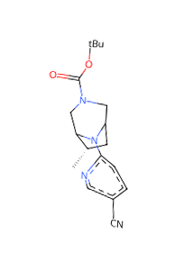 C[C@H]1CC2CN(C(=O)OC(C)(C)C)CC1N2c1ccc(C#N)cn1